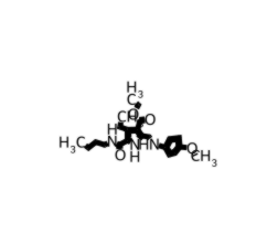 CCCCNC(=O)c1[nH]c(CNc2ccc(OC)cc2)c(C(=O)OCC)c1CC